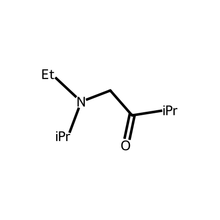 CCN(CC(=O)C(C)C)C(C)C